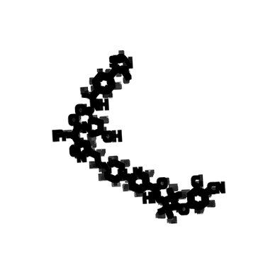 Cc1ncsc1-c1ccc([C@H](C)NC(=O)[C@@H]2C[C@@H](O)CN2C(=O)C(c2cc(CCN3CCN(c4ccc(C(=O)NC5C(C)(C)C(Oc6ccc(C#N)c(Cl)c6)C5(C)C)cn4)CC3)no2)C(C)C)cc1